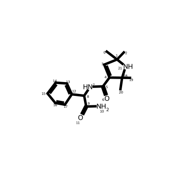 CC1(C)C=C(C(=O)NC(C(N)=O)c2ccccc2)C(C)(C)N1